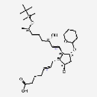 C[C@H](CCC[C@H](O)/C=C/[C@@H]1[C@@H](C/C=C/CCCC(=O)O)[C@H](Cl)C[C@H]1OC1CCCCO1)O[Si](C)(C)C(C)(C)C